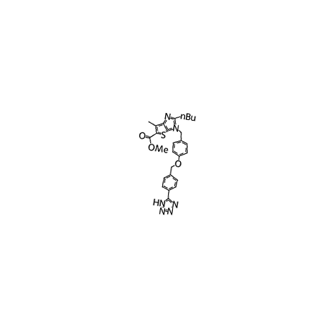 CCCCc1nc2c(C)c(C(=O)OC)sc2n1Cc1ccc(OCc2ccc(-c3nnn[nH]3)cc2)cc1